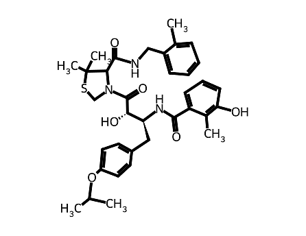 Cc1ccccc1CNC(=O)C1N(C(=O)[C@@H](O)[C@H](Cc2ccc(OC(C)C)cc2)NC(=O)c2cccc(O)c2C)CSC1(C)C